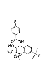 CC1(C)Oc2cc(C(F)(F)F)ccc2C(NC(=O)c2ccc(F)cc2)C1O